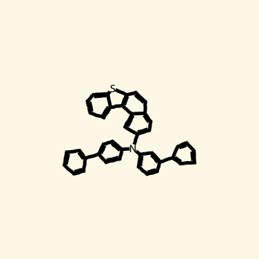 c1ccc(-c2ccc(N(c3cccc(-c4ccccc4)c3)c3ccc4ccc5sc6ccccc6c5c4c3)cc2)cc1